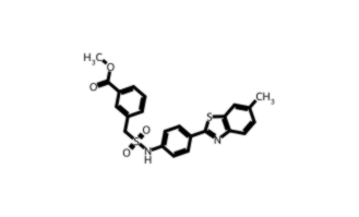 COC(=O)c1cccc(CS(=O)(=O)Nc2ccc(-c3nc4ccc(C)cc4s3)cc2)c1